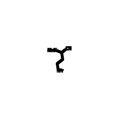 CCCCCC(C#N)NC